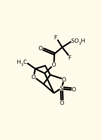 CC12CC3OS(=O)(=O)C(C3O1)C2OC(=O)C(F)(F)S(=O)(=O)O